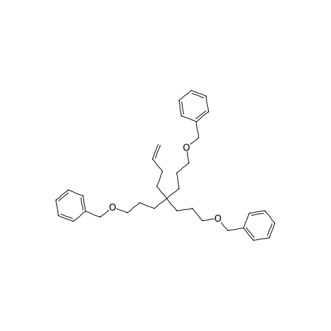 C=CCCC(CCCOCc1ccccc1)(CCCOCc1ccccc1)CCCOCc1ccccc1